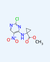 COC(=O)C1(Nc2nc(Cl)ncc2[N+](=O)[O-])CC1